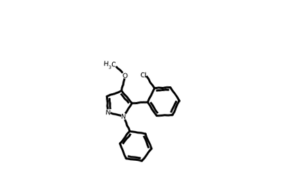 COc1cnn(-c2ccccc2)c1-c1ccccc1Cl